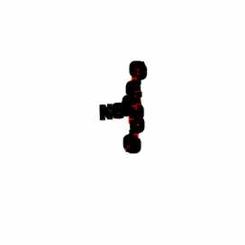 C=CC(=O)OCCCCCCO[C@H]1CC[C@H](COc2ccc(OC[C@H]3CC[C@H](OCCCCCCOC(=O)C=C)CC3)c(C(=O)OCCCC#N)c2)CC1